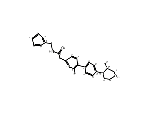 Cc1nc(CC(=O)NCc2ccccc2)ccc1-c1ccc(N2CCOC[C@@H]2C)cc1